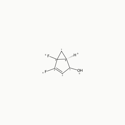 OC1C=C(F)C2(F)C[C@@H]12